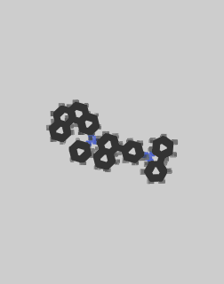 c1ccc(N(c2ccc3ccc4ccc5ccccc5c4c3c2)c2ccc(-c3ccc(-n4c5ccccc5c5ccccc54)cc3)c3ccccc23)cc1